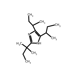 CCC(C)c1nc(C(C)(C)CC)[nH]c1C(C)CC